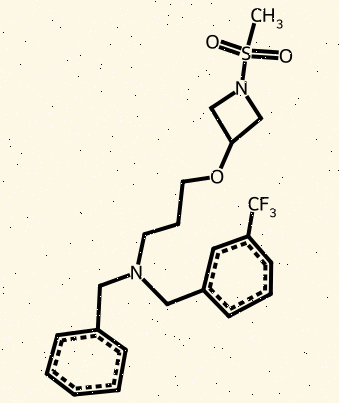 CS(=O)(=O)N1CC(OCCCN(Cc2ccccc2)Cc2cccc(C(F)(F)F)c2)C1